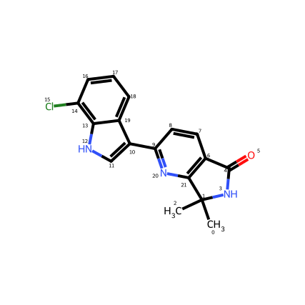 CC1(C)NC(=O)c2ccc(-c3c[nH]c4c(Cl)cccc34)nc21